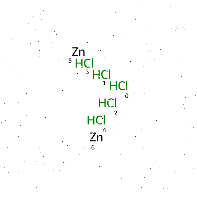 Cl.Cl.Cl.Cl.Cl.[Zn].[Zn]